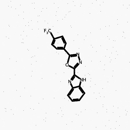 FC(F)(F)c1ccc(-c2nnc(-c3nc4ccccc4[nH]3)o2)cc1